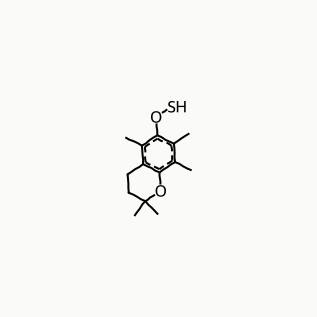 Cc1c(C)c2c(c(C)c1OS)CCC(C)(C)O2